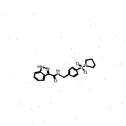 O=C(NCc1ccc(S(=O)(=O)N2CCCC2)cc1)c1n[nH]c2ccccc12